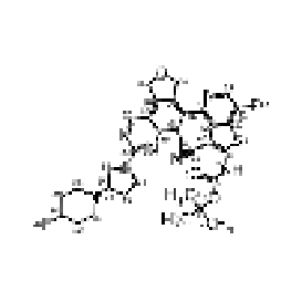 CC(C)(C)OC(=O)Nc1sc2c(F)cnc(-c3c4c(c5cnc(N6CC[C@@H](N7CCC(F)CC7)C6)nc5c3F)COC4)c2c1C#N